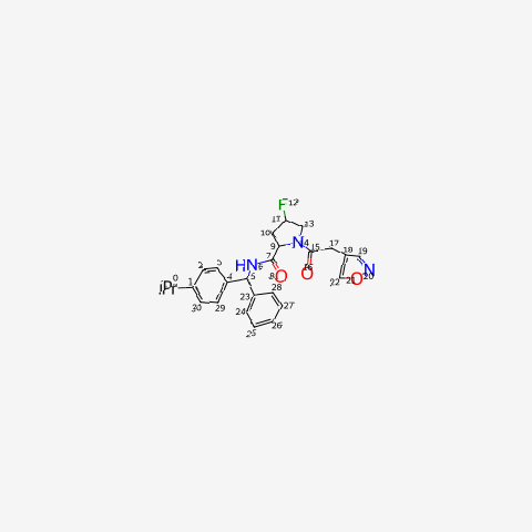 CC(C)c1ccc(C(NC(=O)C2CC(F)CN2C(=O)Cc2cnoc2)c2ccccc2)cc1